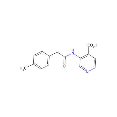 Cc1ccc(CC(=O)Nc2cnccc2C(=O)O)cc1